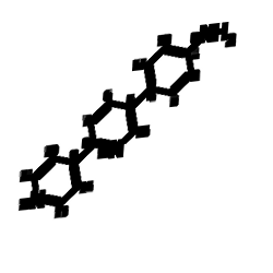 Nc1ccc(-c2ccc(-c3ccncc3)nc2)cc1